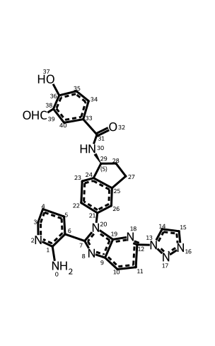 Nc1ncccc1-c1nc2ccc(-n3ccnn3)nc2n1-c1ccc2c(c1)CC[C@@H]2NC(=O)c1ccc(O)c(C=O)c1